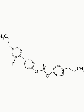 CCCc1ccc(OC(=O)Oc2ccc(-c3ccc(CCC)cc3F)cc2)cc1